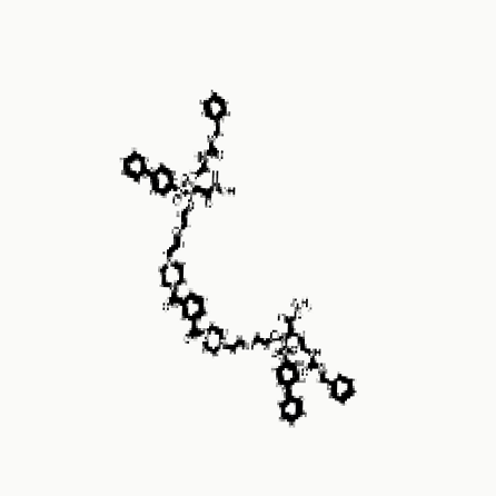 NOC(=O)[C@@H](CCNC(=O)OCc1ccccc1)N(OCCOCCN1CCN(C(=O)c2cccc(C(=O)N3CCN(CCOCCON([C@H](CCNC(=O)OCc4ccccc4)C(=O)NO)S(=O)(=O)c4ccc(-c5ccccc5)cc4)CC3)c2)CC1)S(=O)(=O)c1ccc(-c2ccccc2)cc1